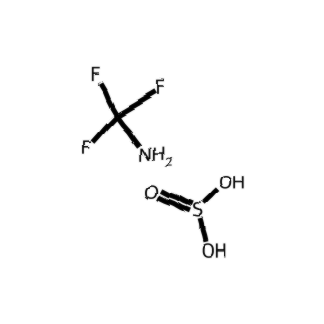 NC(F)(F)F.O=S(O)O